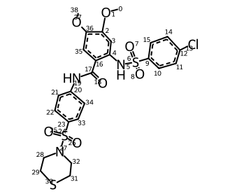 COc1cc(NS(=O)(=O)c2ccc(Cl)cc2)c(C(=O)Nc2ccc(S(=O)(=O)N3CCSCC3)cc2)cc1OC